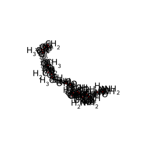 C=C1CC(C2OCCN2C(=O)OCC(C)(C)SSCCC(=O)NCCNC(=O)CCN2C(=O)CC(SC[C@H](NC(=O)[C@H](CC(=O)O)NC(=O)[C@H](CC(=O)O)NC(=O)[C@H](CCCNC(N)N)NC(=O)[C@H](CC(=O)O)NC(=O)CC[C@H](NC(=O)c3ccc(NCc4cnc5nc(N)[nH]c(=O)c5n4)cc3)C(=O)O)C(=O)O)C2=O)N(C(=O)c2cc(OC)c(OCCCCCOc3cc4c(cc3OC)C(=O)N3CC(=C)C[C@H]3C=N4)cc2N)C1